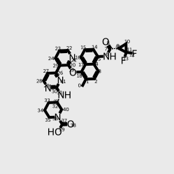 Cc1ccc2c(NC(=O)[C@@H]3CC3(F)F)cccc2c1Oc1ncccc1-c1ccnc(N[C@H]2CCCN(C(=O)O)C2)n1